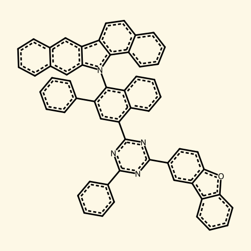 c1ccc(-c2nc(-c3ccc4oc5ccccc5c4c3)nc(-c3cc(-c4ccccc4)c(-n4c5cc6ccccc6cc5c5ccc6ccccc6c54)c4ccccc34)n2)cc1